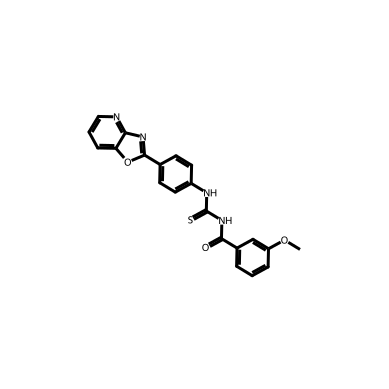 COc1cccc(C(=O)NC(=S)Nc2ccc(-c3nc4ncccc4o3)cc2)c1